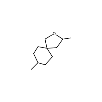 CC1CCC2(CC1)COC(C)C2